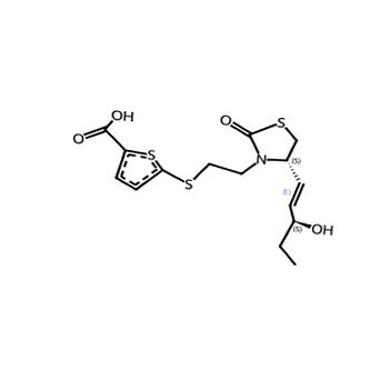 CC[C@H](O)/C=C/[C@H]1CSC(=O)N1CCSc1ccc(C(=O)O)s1